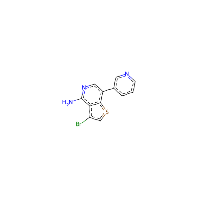 Nc1ncc(-c2cccnc2)c2scc(Br)c12